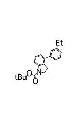 CCc1cccc(-c2cccc3c2CCN3C(=O)OC(C)(C)C)c1